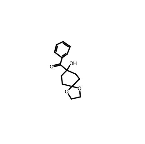 O=C(c1ccccc1)C1(O)CCC2(CC1)OCCO2